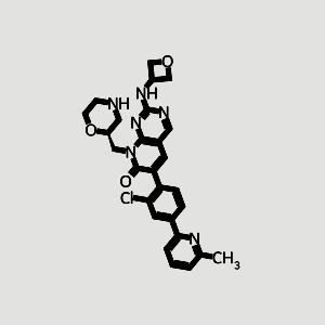 Cc1cccc(-c2ccc(-c3cc4cnc(NC5COC5)nc4n(C[C@@H]4CNCCO4)c3=O)c(Cl)c2)n1